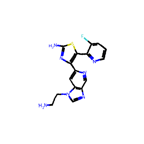 NCCn1cnc2cnc(-c3nc(N)sc3-c3ncccc3F)cc21